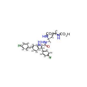 CC(CC[C@@H](CNC(=O)c1[nH]c2cc(-c3ccc(F)cc3)ccc2c1-c1ccc(F)cc1)NC(=O)O)NC(=O)O